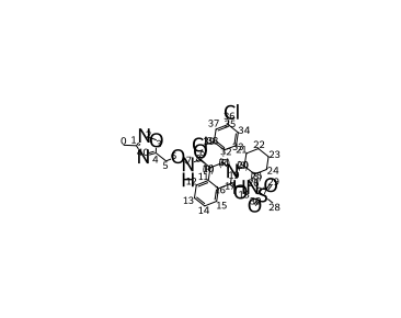 Cc1noc(CONC(=O)[C@@H]2c3ccccc3C(=O)N([C@H]3CCCC[C@@H]3NS(C)(=O)=O)[C@H]2c2ccc(Cl)cc2Cl)n1